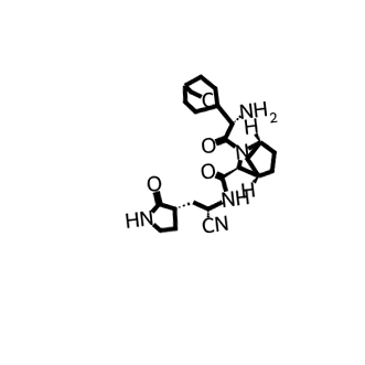 N#C[C@H](C[C@@H]1CCNC1=O)NC(=O)[C@@H]1[C@H]2CC[C@H](C2)N1C(=O)[C@@H](N)C12CCC(CC1)CC2